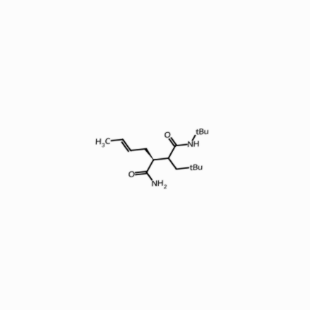 C/C=C/C[C@H](C(N)=O)C(CC(C)(C)C)C(=O)NC(C)(C)C